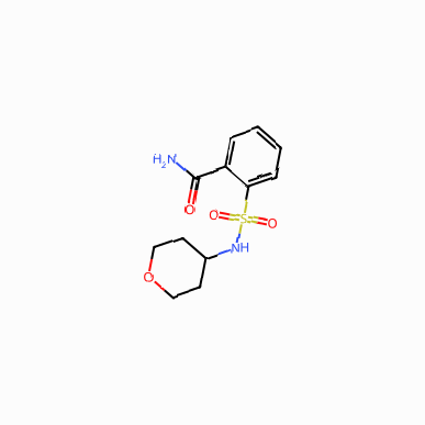 NC(=O)c1ccccc1S(=O)(=O)NC1CCOCC1